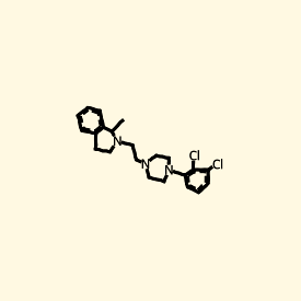 CC1c2ccccc2CCN1CCN1CCN(c2cccc(Cl)c2Cl)CC1